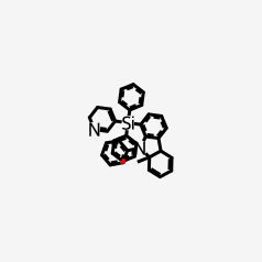 CC12C=CC=CC1c1cccc([Si](C3=CCCN=C3)(c3ccccc3)c3ccccc3)c1N2c1ccccc1